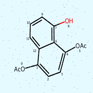 CC(=O)Oc1ccc(OC(C)=O)c2c(O)cccc12